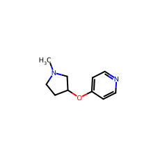 CN1CCC(Oc2ccncc2)C1